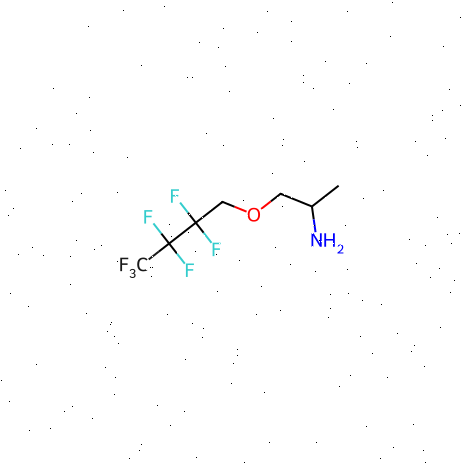 CC(N)COCC(F)(F)C(F)(F)C(F)(F)F